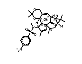 CC1=C[C@]23C(=O)[C@@H](C=C4COC(C)(C)O[C@H]4[C@]2(O)[C@H]1N(C)S(=O)(=O)c1ccc([N+](=O)[O-])cc1)[C@H]1[C@@H](C[C@H]3C)C1(C)C